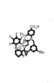 CCOc1cc(C(=O)O)ccc1N(Cc1cc(C2CC2)cc(C(C)(C)C)c1)C(=O)CN(Cc1ccccc1F)S(=O)(=O)c1c(F)c(F)c(F)c(F)c1Br